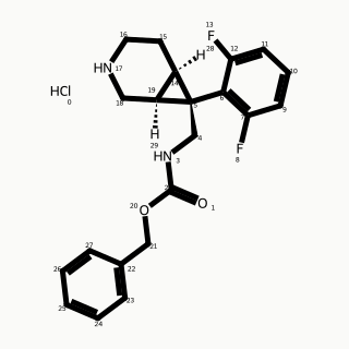 Cl.O=C(NC[C@]1(c2c(F)cccc2F)[C@@H]2CCNC[C@@H]21)OCc1ccccc1